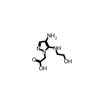 Nc1cnn(CC(=O)O)c1NCCO